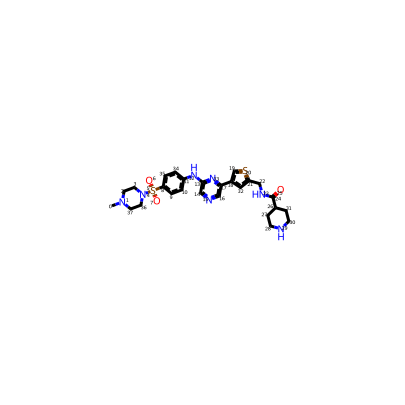 CN1CCN(S(=O)(=O)c2ccc(Nc3cncc(-c4csc(CNC(=O)C5CCNCC5)c4)n3)cc2)CC1